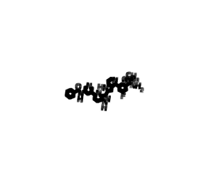 CS(=O)(=O)C(N)c1cc(F)cc(-c2nccc3[nH]c(-c4n[nH]c5ccc(-c6cncc(NC(=O)c7ccccc7)c6)nc45)cc23)c1